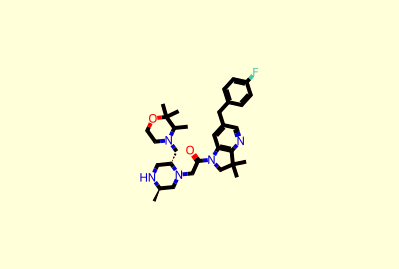 CC1N(C[C@H]2CN[C@H](C)CN2CC(=O)N2CC(C)(C)c3ncc(Cc4ccc(F)cc4)cc32)CCOC1(C)C